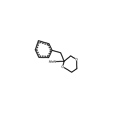 CNC1(Cc2ccccc2)COCCO1